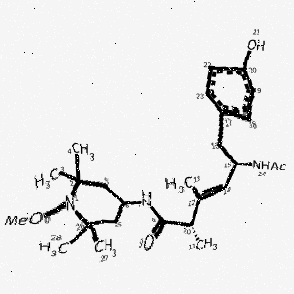 CON1C(C)(C)CC(NC(=O)[C@@H](C)/C(C)=C/[C@@H](Cc2ccc(O)cc2)NC(C)=O)CC1(C)C